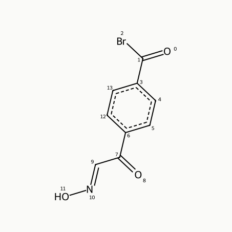 O=C(Br)c1ccc(C(=O)C=NO)cc1